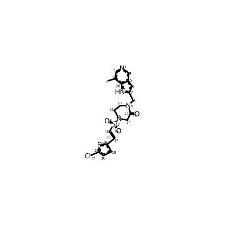 Cc1cncc2cc(CN3CCN(S(=O)(=O)/C=C/c4ccc(Cl)s4)CC3=O)[nH]c12